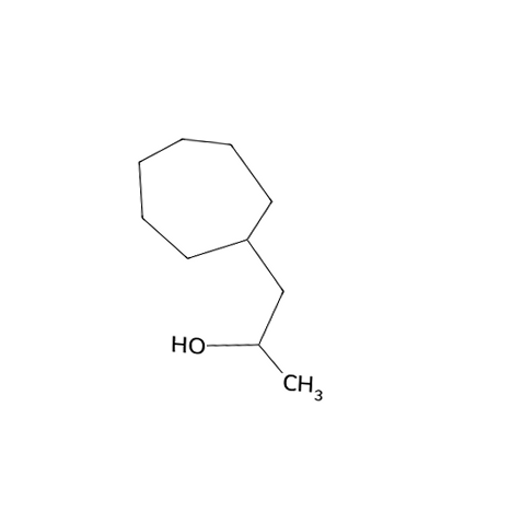 CC(O)CC1CCCCCC1